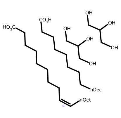 CCCCCCCC/C=C\CCCCCCCC(=O)O.CCCCCCCCCCCCCCCCCC(=O)O.OCC(O)CO.OCC(O)CO